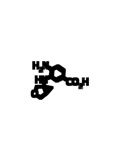 Nc1ccc(C(=O)O)cc1NC12COCC1C2